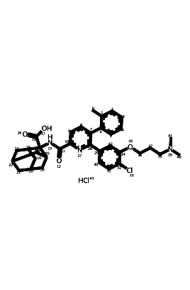 Cc1ccccc1-c1ccc(C(=O)NC2(C(=O)O)C3CC4CC(C3)CC2C4)nc1-c1ccc(Cl)c(OCCCN(C)C)c1.Cl